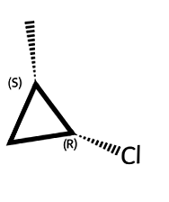 C[C@H]1C[C@H]1Cl